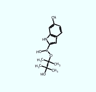 CC(C)(O)C(C)(C)OB(O)c1cc2ccc(C#N)cc2[nH]1